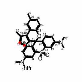 CCCN(C)c1ccc2c(c1)S(=O)(=O)c1cc(N(C)C)ccc1C21Oc2ccc(C)cc2-c2c(C)c3ccccn3c21